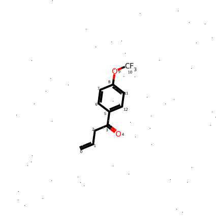 C=CCC(=O)c1ccc(OC(F)(F)F)cc1